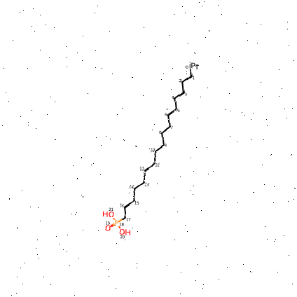 CC(C)CCCCCCCCCCCCCCCCCP(=O)(O)O